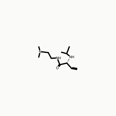 C=C[C@@H](NC(C)C)C(=O)NCCN(C)C